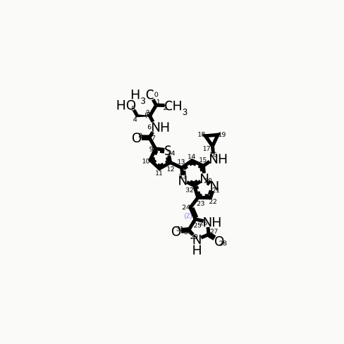 CC(C)[C@H](CO)NC(=O)c1ccc(-c2cc(NC3CC3)n3ncc(/C=C4\NC(=O)NC4=O)c3n2)s1